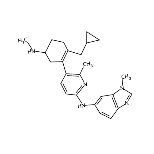 CNC1CCC(CC2CC2)=C(c2ccc(Nc3ccc4ncn(C)c4c3)nc2C)C1